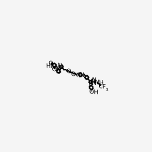 O=C1CC[C@H](n2c3ccccc3c3c(CCCOCCOCCN4CCN(Cc5ccc(-c6cn([C@H]7CC[C@H](O)CC7)c7nc(NCCC(F)(F)F)ncc67)cc5)CC4)ccnc32)C(=O)N1